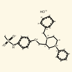 CS(=O)(=O)Nc1ccc(OCC2CN(c3ccccc3)CCN2Cc2ccccc2)cc1.Cl